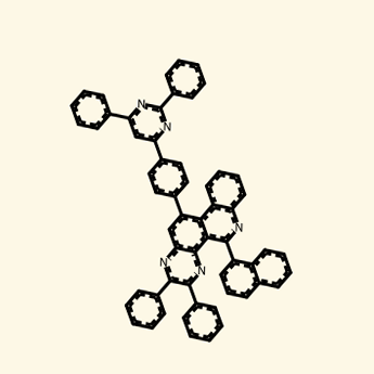 c1ccc(-c2cc(-c3ccc(-c4cc5nc(-c6ccccc6)c(-c6ccccc6)nc5c5c(-c6cccc7ccccc67)nc6ccccc6c45)cc3)nc(-c3ccccc3)n2)cc1